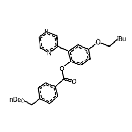 CCCCCCCCCCCc1ccc(C(=O)Oc2ccc(OCC(C)CC)cc2-c2cnccn2)cc1